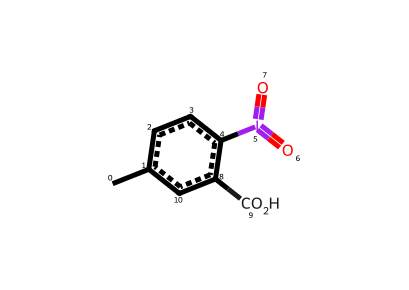 Cc1ccc(I(=O)=O)c(C(=O)O)c1